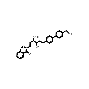 O=C(O)C(CCn1nnc2ccccc2c1=O)C(O)CCc1ccc(-c2ccc(OC(F)(F)F)cc2)cc1